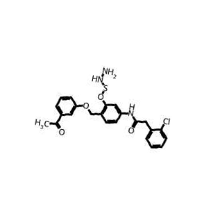 CC(=O)c1cccc(OCc2ccc(NC(=O)Cc3ccccc3Cl)cc2OSNN)c1